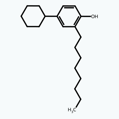 CCCCCCCCc1cc(C2CCCCC2)ccc1O